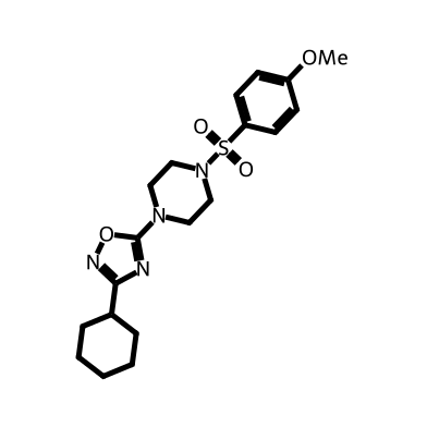 COc1ccc(S(=O)(=O)N2CCN(c3nc(C4CCCCC4)no3)CC2)cc1